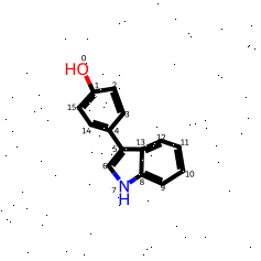 Oc1ccc(-c2c[nH]c3ccccc23)cc1